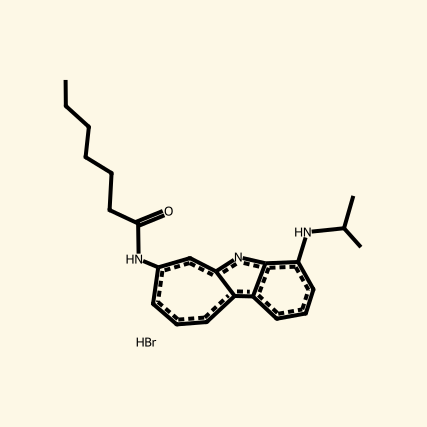 Br.CCCCCCC(=O)Nc1cccc2c3cccc(NC(C)C)c3nc-2c1